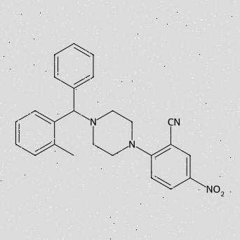 Cc1ccccc1C(c1ccccc1)N1CCN(c2ccc([N+](=O)[O-])cc2C#N)CC1